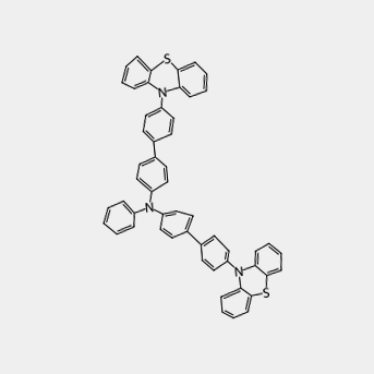 c1ccc(N(c2ccc(-c3ccc(N4c5ccccc5Sc5ccccc54)cc3)cc2)c2ccc(-c3ccc(N4c5ccccc5Sc5ccccc54)cc3)cc2)cc1